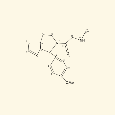 COc1ccc(C2c3ccsc3CCN2C(=O)CNC(C)C)cc1